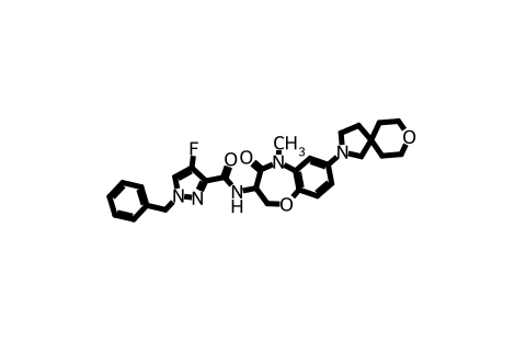 CN1C(=O)C(NC(=O)c2nn(Cc3ccccc3)cc2F)COc2ccc(N3CCC4(CCOCC4)C3)cc21